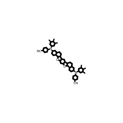 Cc1cc(N(c2ccc(C#N)cc2)c2ccc3c(ccc4c5cc6c(cc5oc34)oc3c4ccc(N(c5ccc(C#N)cc5)c5cc(C)c(C)c(C)c5)cc4ccc63)c2)cc(C)c1C